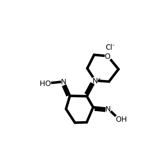 ON=C1CCCC(=NO)C1=[N+]1CCOCC1.[Cl-]